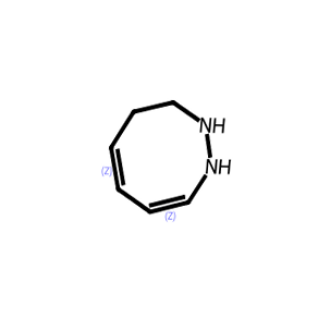 C1=C\CCNN\C=C/1